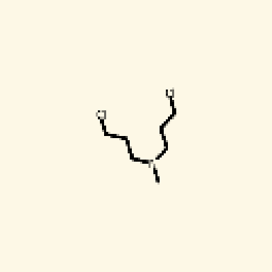 CN(CCCCl)CCCCl